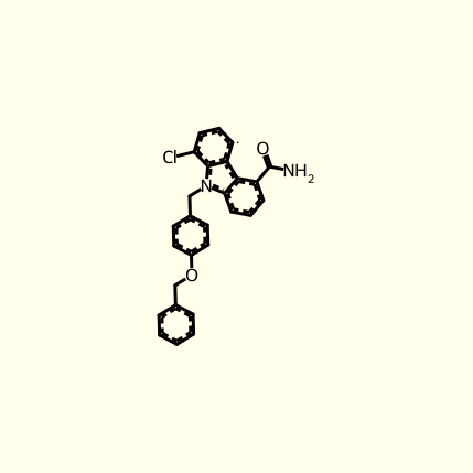 NC(=O)c1cccc2c1c1[c]ccc(Cl)c1n2Cc1ccc(OCc2ccccc2)cc1